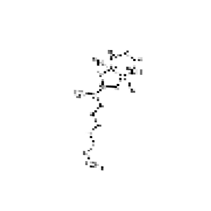 CCCCCCCC(C)N1C[C@@H]2NCCO[C@@H]2C1